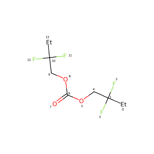 CCC(F)(F)COC(=O)OCC(F)(F)CC